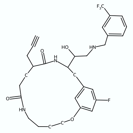 C#CCC1CCC(=O)NCCCCOc2cc(F)cc(c2)CC(C(O)CNCc2cccc(C(F)(F)F)c2)NC1=O